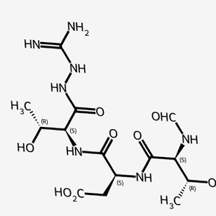 C[C@@H](O)[C@H](NC=O)C(=O)N[C@@H](CC(=O)O)C(=O)N[C@H](C(=O)NNC(=N)N)[C@@H](C)O